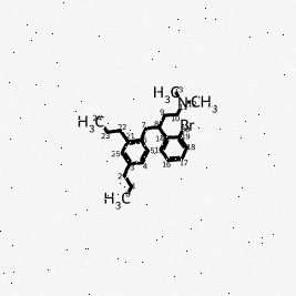 CCCc1ccc(CC(CCN(C)C)c2ccccc2Br)c(CCC)c1